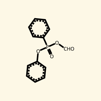 O=COP(=O)(Oc1ccccc1)c1ccccc1